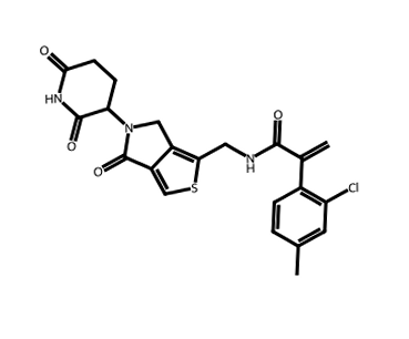 C=C(C(=O)NCc1scc2c1CN(C1CCC(=O)NC1=O)C2=O)c1ccc(C)cc1Cl